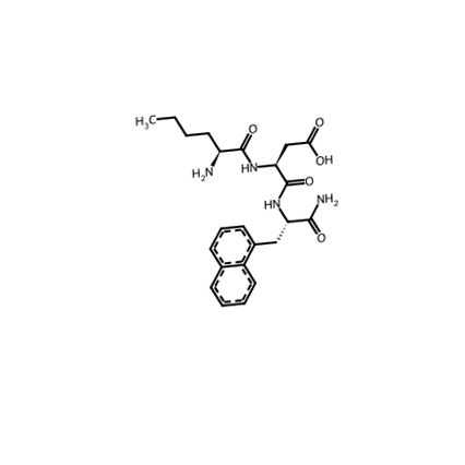 CCCC[C@H](N)C(=O)N[C@@H](CC(=O)O)C(=O)N[C@@H](Cc1cccc2ccccc12)C(N)=O